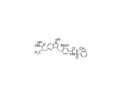 CCCNC(=O)C(C)Cc1ccc2c(c1)c(Cc1ccc(C(=O)NS(=O)(=O)c3ccccc3C)cc1OC)cn2CCC